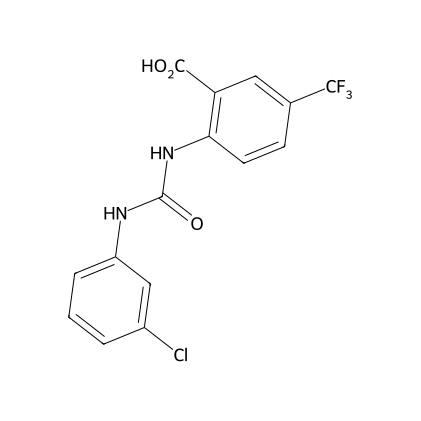 O=C(Nc1cccc(Cl)c1)Nc1ccc(C(F)(F)F)cc1C(=O)O